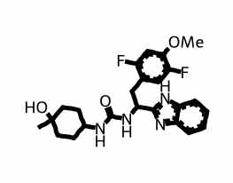 COc1cc(F)c(CC(NC(=O)NC2CCC(C)(O)CC2)c2nc3ccccc3[nH]2)cc1F